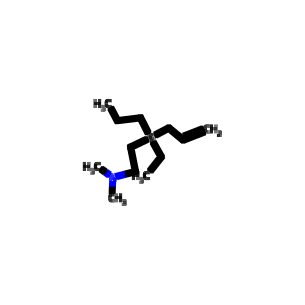 C=CC[Si](CC)(CCC)CCN(C)C